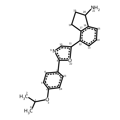 CC(C)Oc1ccc(-c2ncc(-c3cccc4c3CCC4N)o2)cc1